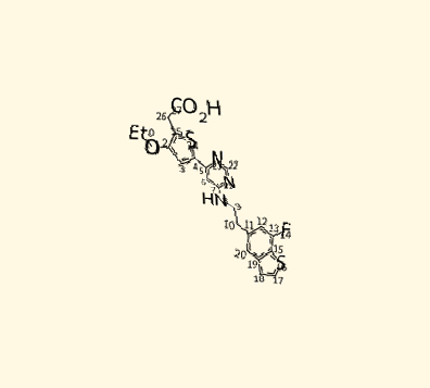 CCOc1cc(-c2cc(NCCc3cc(F)c4sccc4c3)ncn2)sc1CC(=O)O